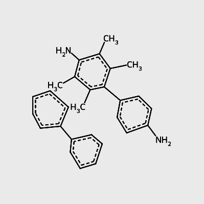 Cc1c(C)c(-c2ccc(N)cc2)c(C)c(C)c1N.c1ccc(-c2ccccc2)cc1